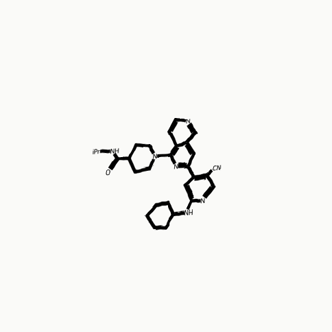 CC(C)NC(=O)C1CCN(c2nc(-c3cc(NC4CCCCC4)ncc3C#N)cc3cnccc23)CC1